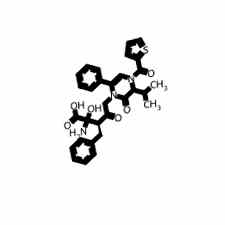 CC(C)C1C(=O)N(CC(=O)[C@@H](Cc2ccccc2)C(N)(O)C(=O)O)C(c2ccccc2)=CN1C(=O)c1cccs1